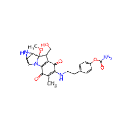 COC12C(CO)C3=C(C(=O)C(C)=C(NCCc4ccc(OC(N)=O)cc4)C3=O)N1CC1NC12